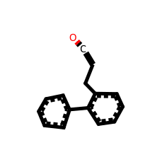 O=C=CCc1ccccc1-c1ccccc1